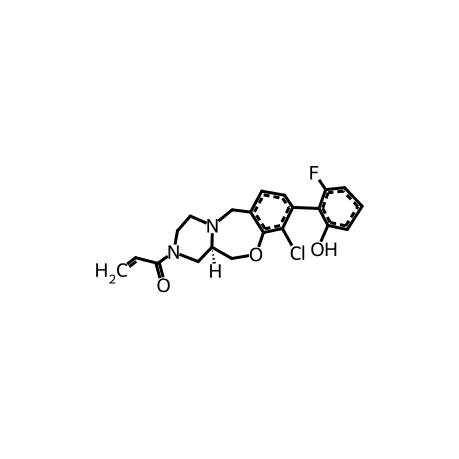 C=CC(=O)N1CCN2Cc3ccc(-c4c(O)cccc4F)c(Cl)c3OC[C@H]2C1